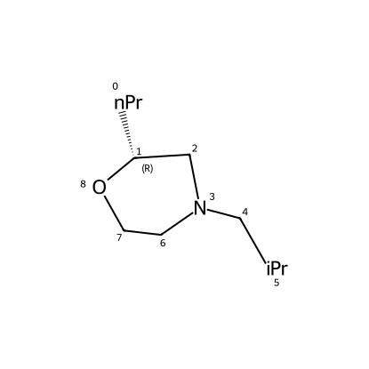 CCC[C@@H]1CN(CC(C)C)CCO1